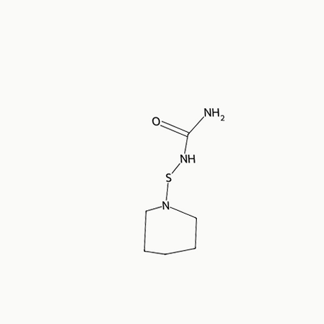 NC(=O)NSN1CCCCC1